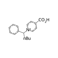 CCCCC(c1ccccc1)[n+]1ccc(C(=O)O)cc1